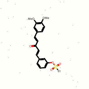 CCS(=O)(=O)Oc1cccc(/C=C/C(=O)/C=C/c2ccc(OC)c(OC)c2)c1